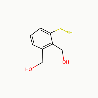 OCc1cccc(SS)c1CO